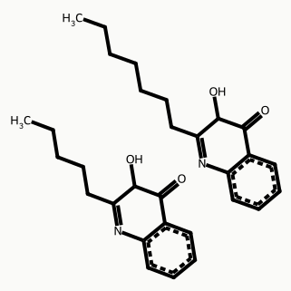 CCCCCC1=Nc2ccccc2C(=O)C1O.CCCCCCCC1=Nc2ccccc2C(=O)C1O